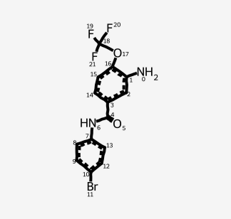 Nc1cc(C(=O)Nc2ccc(Br)cc2)ccc1OC(F)(F)F